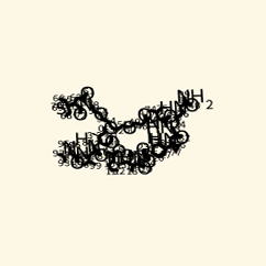 CC[C@H](C)[C@@H]([C@@H](CC(=O)N1CCC[C@H]1[C@H](OC)C(C)C(=O)NS(=O)(=O)C1C=CC(C2(NC(=O)[C@H](CCCNC(N)=O)NC(=O)[C@@H](NC(=O)CCOCCOCCOCCN3C(=O)CC(C(CC)(CC)SC)C3=O)C(C)C)CC2)=CC1)OC)N(C)C(=O)[C@@H](NC(=O)[C@H](C(C)C)N(C)C)C(C)C